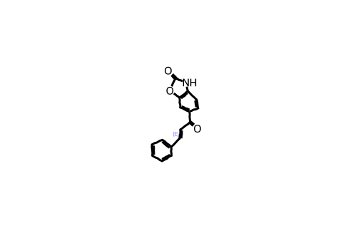 O=C(/C=C/c1ccccc1)c1ccc2[nH]c(=O)oc2c1